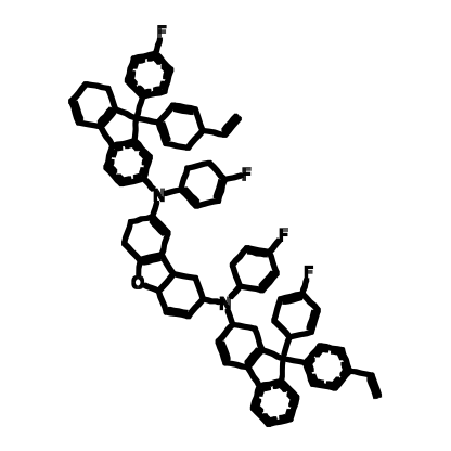 C=Cc1ccc(C2(C3C=CC(F)=CC3)C3=C(C=CC(N(C4C=CC(F)=CC4)C4C=CC5OC6=C(C=C(N(C7=CC=C(F)CC7)c7ccc8c(c7)C(C7=CCC(C=C)C=C7)(c7ccc(F)cc7)C7=C8C=CCC7)CC6)C5C4)C3)c3ccccc32)cc1